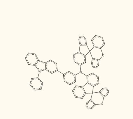 c1ccc(-n2c3ccccc3c3ccc(-c4cccc(N(c5ccc6c(c5)C5(c7ccccc7Oc7ccccc75)c5ccccc5-6)c5cccc6c5-c5ccccc5C65c6ccccc6Sc6ccccc65)c4)cc32)cc1